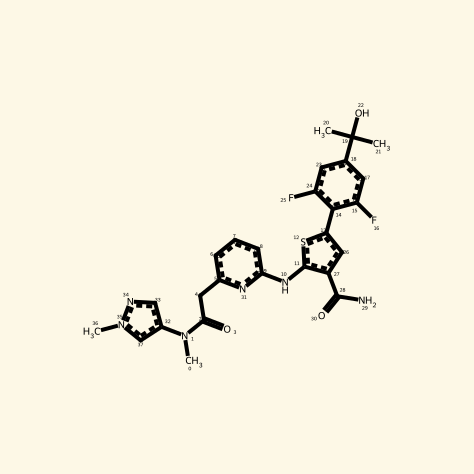 CN(C(=O)Cc1cccc(Nc2sc(-c3c(F)cc(C(C)(C)O)cc3F)cc2C(N)=O)n1)c1cnn(C)c1